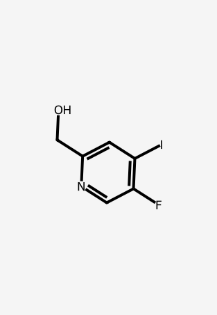 OCc1cc(I)c(F)cn1